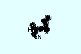 N#Cc1cccc(C2=NC(c3ccc(-n4c5ccccc5c5ccc(-c6cccc7c6sc6ccccc67)cc54)cc3)NC(c3ccccc3)N2)c1